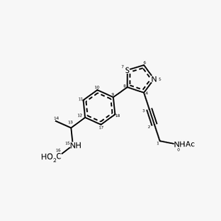 CC(=O)NCC#Cc1ncsc1-c1ccc(C(C)NC(=O)O)cc1